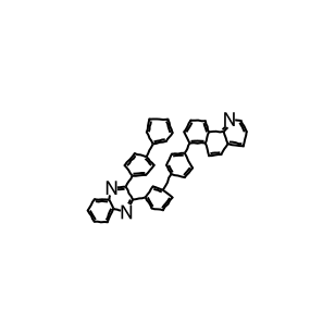 c1ccc(-c2ccc(-c3nc4ccccc4nc3-c3cccc(-c4ccc(-c5cccc6c5ccc5cccnc56)cc4)c3)cc2)cc1